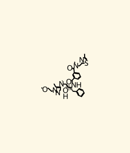 COCCn1ncc(N(C)C[C@@H](O)[C@H](Cc2ccccc2)NC(=O)c2cccc(C(=O)N(C)Cc3nc(C)cs3)c2)c1C